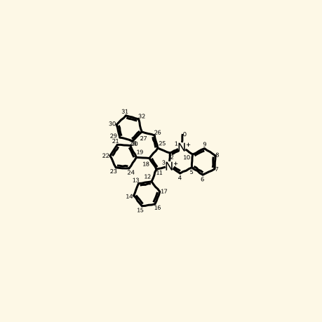 C[n+]1c2[n+](cc3ccccc31)C(c1ccccc1)=C(c1ccccc1)/C2=C\c1ccccc1